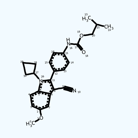 COc1ccc2c(c1)c(C#N)c(-c1ccc(NC(=O)OCC(C)C)cc1)n2C1CCC1